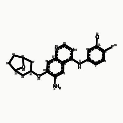 Nc1cc2c(Nc3ccc(F)c(Cl)c3)ncnc2cc1OC1CC2CCC(C1)O2